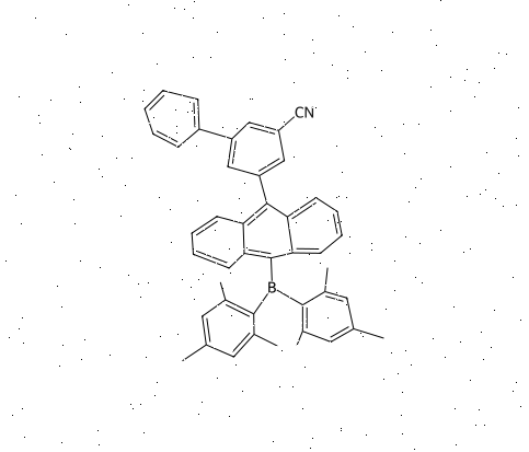 Cc1cc(C)c(B(c2c(C)cc(C)cc2C)c2c3ccccc3c(-c3cc(C#N)cc(-c4ccccc4)c3)c3ccccc23)c(C)c1